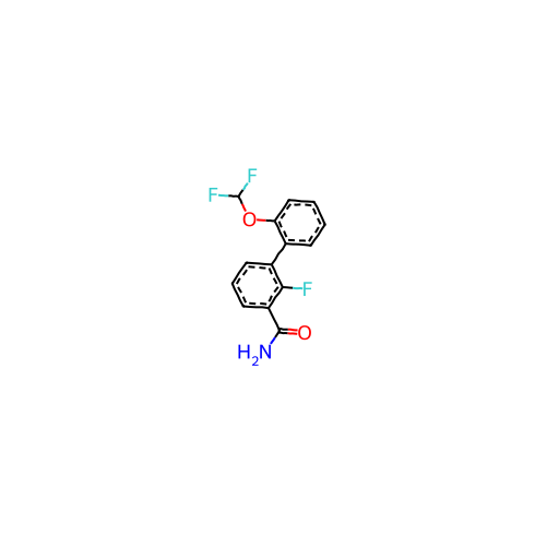 NC(=O)c1cccc(-c2ccccc2OC(F)F)c1F